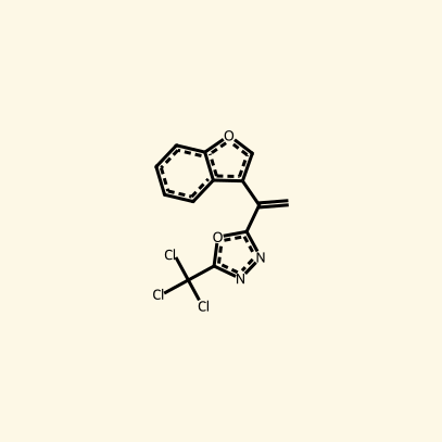 C=C(c1nnc(C(Cl)(Cl)Cl)o1)c1coc2ccccc12